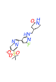 COc1cc2ncc(-c3cc(F)nc(NCC4CCNC(=O)C4)c3)n2cc1S(=O)(=O)C(C)(C)C